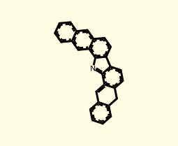 C1=c2c(ccc3c2=Nc2c-3ccc3cc4ccccc4cc23)Cc2ccccc21